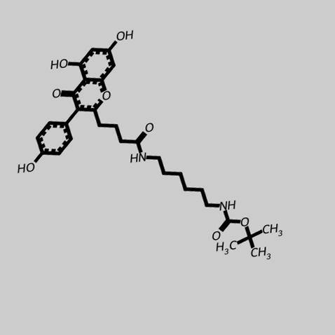 CC(C)(C)OC(=O)NCCCCCCNC(=O)CCCc1oc2cc(O)cc(O)c2c(=O)c1-c1ccc(O)cc1